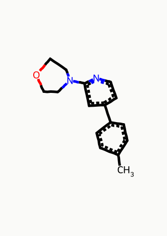 Cc1ccc(-c2ccnc(N3CCOCC3)c2)cc1